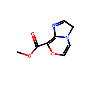 COC(=O)C1=C2N=CCN2C=CO1